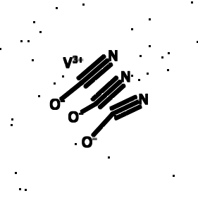 N#C[O-].N#C[O-].N#C[O-].[V+3]